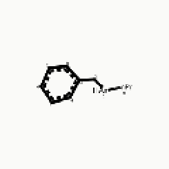 CCC[AsH]Cc1ccccc1